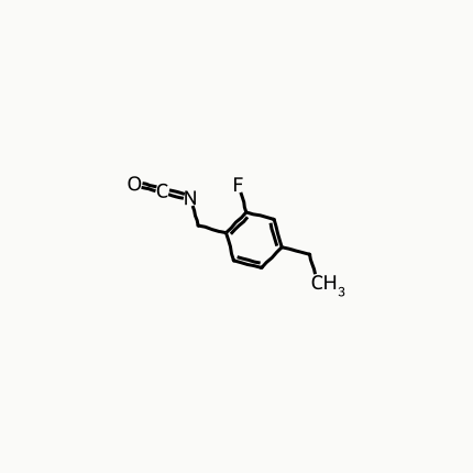 CCc1ccc(CN=C=O)c(F)c1